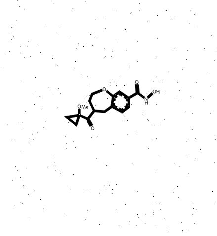 COC1(C(=O)C2CCOc3cc(C(=O)NO)ccc3C2)CC1